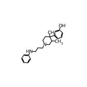 CC1CN(CCCNc2ccccc2)CCC1(C)c1cccc(O)c1